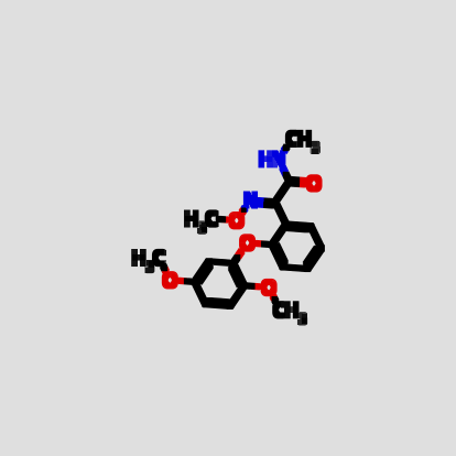 CNC(=O)/C(=N/OC)c1ccccc1Oc1cc(OC)ccc1OC